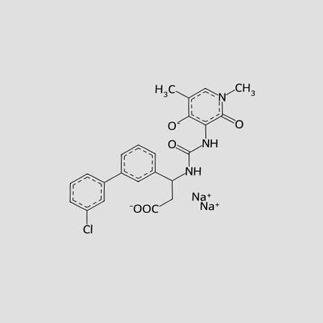 Cc1cn(C)c(=O)c(NC(=O)NC(CC(=O)[O-])c2cccc(-c3cccc(Cl)c3)c2)c1[O-].[Na+].[Na+]